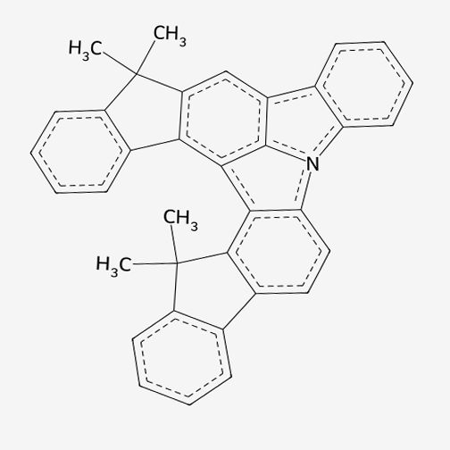 CC1(C)c2ccccc2-c2c1cc1c3ccccc3n3c4ccc5c(c4c2c13)C(C)(C)c1ccccc1-5